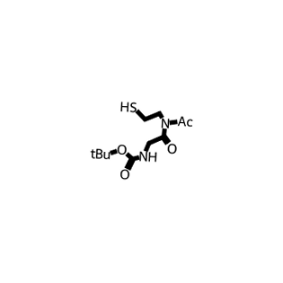 CC(=O)N(CCS)C(=O)CNC(=O)OC(C)(C)C